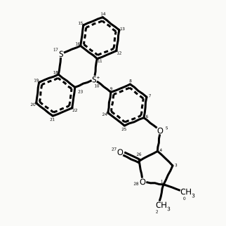 CC1(C)CC(Oc2ccc([S+]3c4ccccc4Sc4ccccc43)cc2)C(=O)O1